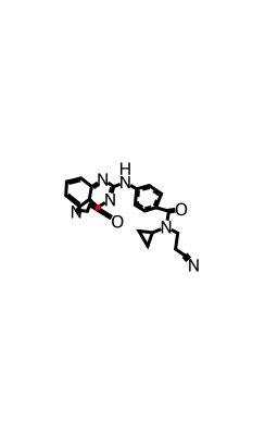 N#CCCN(C(=O)c1ccc(NC2=NCC34CC(=O)CC=NC3=CC=CC4=N2)cc1)C1CC1